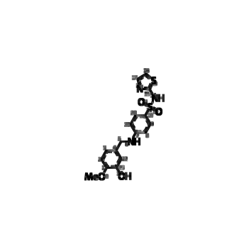 COc1ccc(CNc2ccc(S(=O)(=O)Nc3nccs3)cc2)cc1O